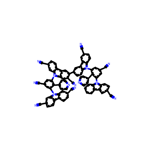 N#Cc1cc(-n2c3ccccc3c3cc(C#N)ccc32)c(-c2ccncc2)c(-n2c3ccc(C#N)cc3c3cc(-c4cc5c6ccc(C#N)cc6n(-c6cc(C#N)cc(-n7c8cc(C#N)ccc8c8ccc(C#N)cc87)c6-c6ccncc6)c5cc4C#N)ccc32)c1